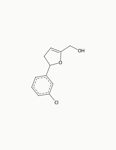 OCC1=CCC(c2cccc(Cl)c2)O1